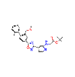 COCc1cc(-c2nc(-c3ccnc(NCC(=O)OC(C)(C)C)c3)no2)ccc1-c1ccccc1C